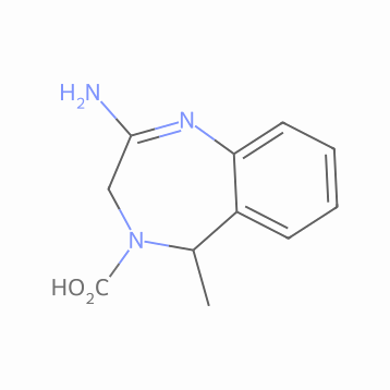 CC1c2ccccc2N=C(N)CN1C(=O)O